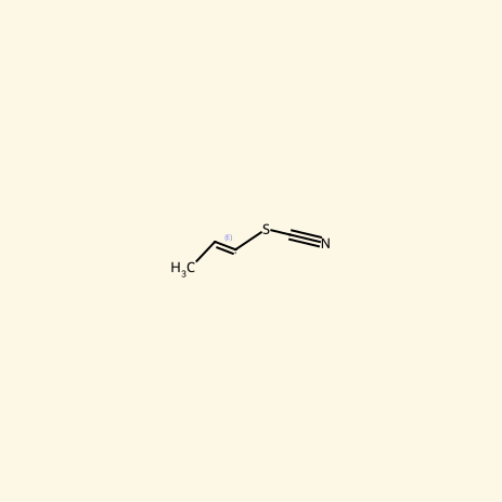 C/C=[C]/SC#N